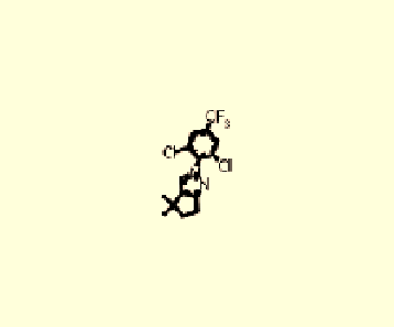 CC1(C)CCc2nn(-c3c(Cl)cc(C(F)(F)F)cc3Cl)cc21